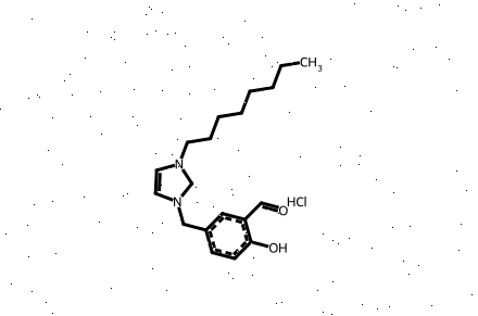 CCCCCCCCN1C=CN(Cc2ccc(O)c(C=O)c2)C1.Cl